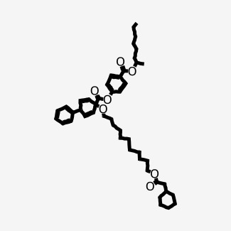 CCCCCCC(C)OC(=O)c1ccc(OC(=O)C2(OCCCCCCCCCCCOC(=O)CC3CCCCC3)C=CC(c3ccccc3)C=C2)cc1